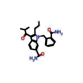 CCCc1c(C(=O)C(C)C)c2ccc(C(N)=O)cc2n1Cc1ccccc1C(N)=O